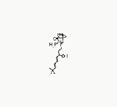 CC1(CCCCC(O)CCCCC2(P(=O)(P)PP)CC2)CC1